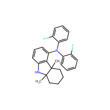 CC12CCCCC1(C)c1c(cccc1N(c1ccccc1F)c1ccccc1F)N2